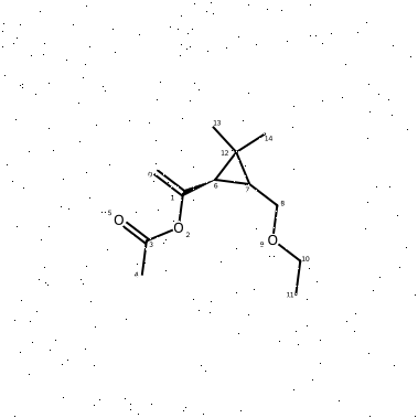 C=C(OC(C)=O)[C@@H]1C(COCC)C1(C)C